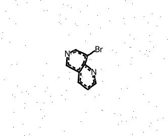 Brc1cncc2cccnc12